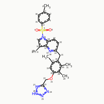 Cc1ccc(S(=O)(=O)n2cc(C(C)C)c3nc(Cc4c(C)cc(OCc5nn[nH]n5)c(C)c4C)ccc32)cc1